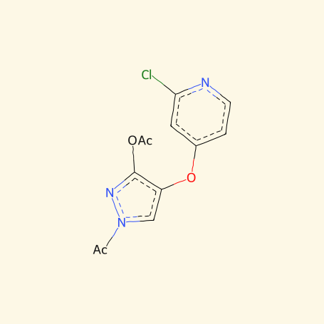 CC(=O)Oc1nn(C(C)=O)cc1Oc1ccnc(Cl)c1